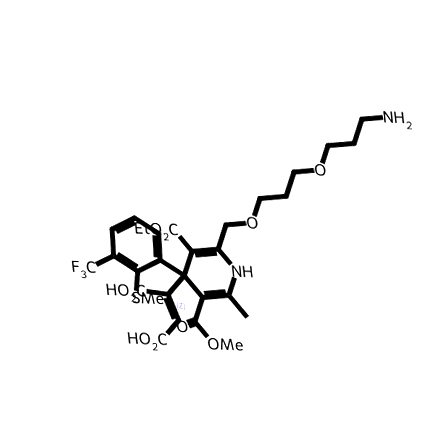 CCOC(=O)C1=C(COCCCOCCCN)NC(C)=C(C(=O)OC)C1(/C(=C/C(=O)O)C(=O)O)c1cccc(C(F)(F)F)c1SC